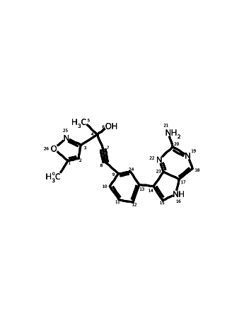 Cc1cc(C(C)(O)C#Cc2cccc(-c3c[nH]c4cnc(N)nc34)c2)no1